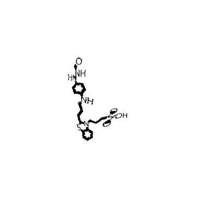 O=CNNc1ccc(NCCCC2Sc3ccccc3N2CCCS(=O)(=O)O)cc1